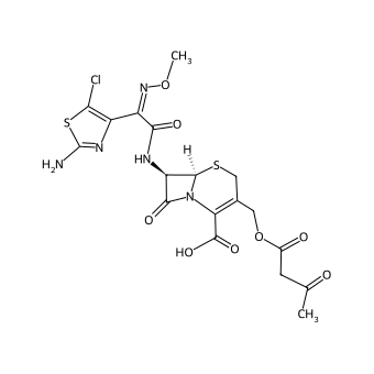 CO/N=C(\C(=O)N[C@@H]1C(=O)N2C(C(=O)O)=C(COC(=O)CC(C)=O)CS[C@H]12)c1nc(N)sc1Cl